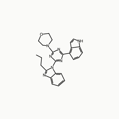 CCCc1nc2ccccc2n1-c1nc(-c2cccc3[nH]ccc23)nc(N2CCOCC2)n1